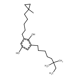 CCC(C)(C)CCCCCc1cc(O)cc(CCCCCC2(I)CC2)c1O